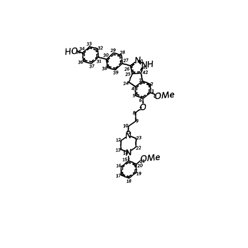 COc1cc2c(cc1OCCCN1CCN(c3ccccc3OC)CC1)Cc1c(-c3ccc(-c4ccc(O)cc4)cc3)n[nH]c1-2